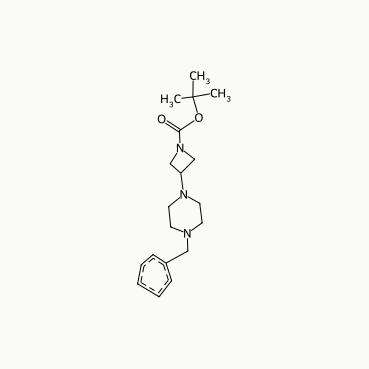 CC(C)(C)OC(=O)N1CC(N2CCN(Cc3ccccc3)CC2)C1